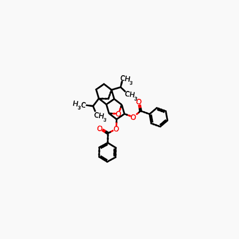 CC(C)C12CCC(C(C)C)(C1)C1C3OC(C(OC(=O)c4ccccc4)C3OC(=O)c3ccccc3)C12